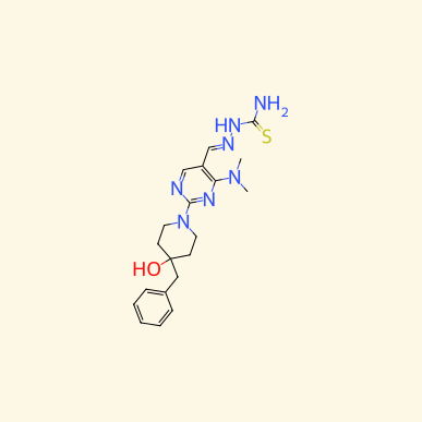 CN(C)c1nc(N2CCC(O)(Cc3ccccc3)CC2)ncc1/C=N/NC(N)=S